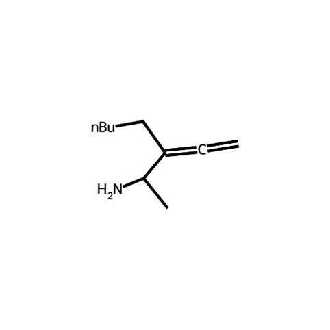 C=C=C(CCCCC)C(C)N